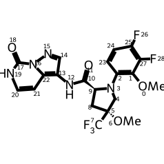 COc1c(N2C[C@@](OC)(C(F)(F)F)C[C@H]2C(=O)Nc2cnn3c(=O)[nH]ccc23)ccc(F)c1F